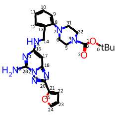 CC(C)(C)OC(=O)N1CCN(c2ccccc2CNc2cc3nc(-c4ccco4)nn3c(N)n2)CC1